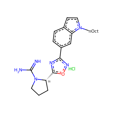 CCCCCCCCn1ccc2ccc(-c3noc([C@@H]4CCCN4C(=N)N)n3)cc21.Cl